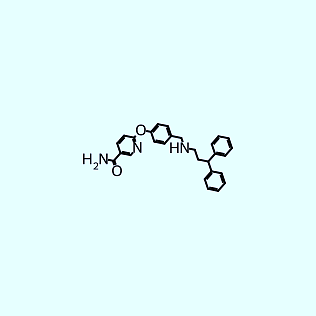 NC(=O)c1ccc(Oc2ccc(CNCCC(c3ccccc3)c3ccccc3)cc2)nc1